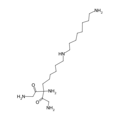 NCCCCCCCCNCCCCCCC(N)(C(=O)CN)C(=O)CN